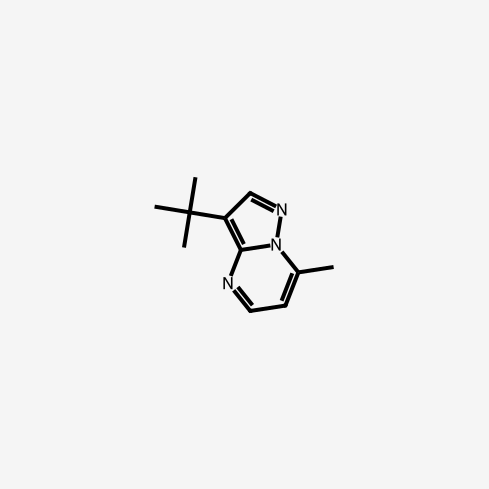 Cc1ccnc2c(C(C)(C)C)cnn12